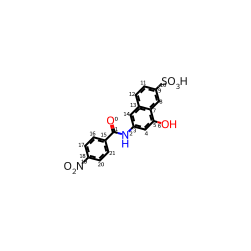 O=C(Nc1cc(O)c2cc(S(=O)(=O)O)ccc2c1)c1ccc([N+](=O)[O-])cc1